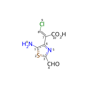 Nc1sc(C=O)nc1C(=CCl)C(=O)O